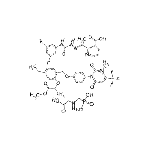 C/C(=N\NC(=O)Nc1cc(F)cc(F)c1)c1ncccc1C(=O)O.CCc1ccc(COc2ccc(-n3c(=O)cc(C(F)(F)F)n(C)c3=O)cc2)c(OC(C)C(=O)OC)c1.O=C(O)CNCP(=O)(O)O